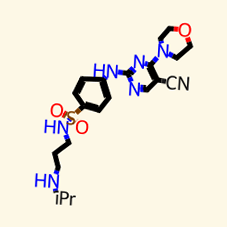 CC(C)NCCCNS(=O)(=O)c1ccc(Nc2ncc(C#N)c(N3CCOCC3)n2)cc1